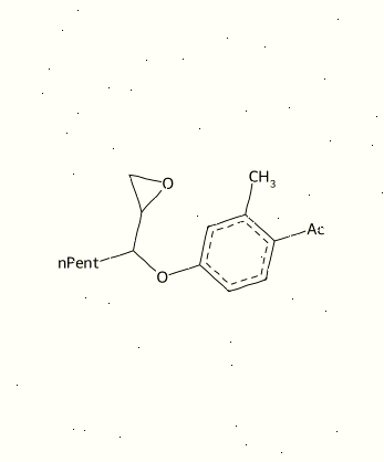 CCCCCC(Oc1ccc(C(C)=O)c(C)c1)C1CO1